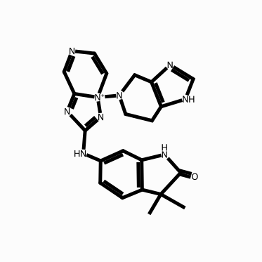 CC1(C)C(=O)Nc2cc(NC3=N[N+]4(N5CCc6[nH]cnc6C5)C=CN=CC4=N3)ccc21